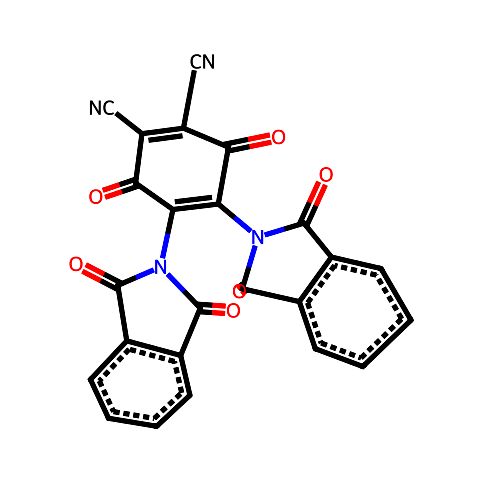 N#CC1=C(C#N)C(=O)C(N2C(=O)c3ccccc3C2=O)=C(N2C(=O)c3ccccc3C2=O)C1=O